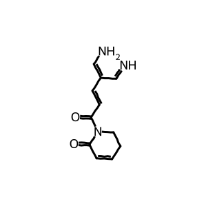 N=CC(=C\N)/C=C/C(=O)N1CCC=CC1=O